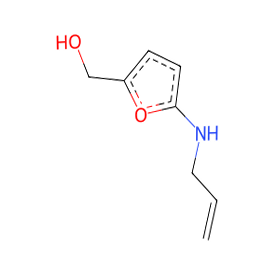 C=CCNc1ccc(CO)o1